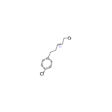 [O]C/C=C/CCc1ccc(Cl)cc1